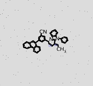 C/C=C(\C=C/Cc1cc(C#N)cc(-c2cc3ccccc3c3ccccc23)c1)c1nc2ccccc2n1-c1ccccc1